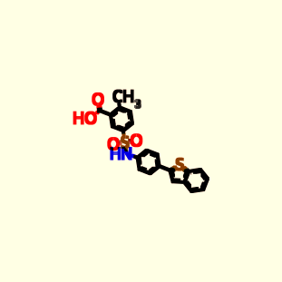 Cc1ccc(S(=O)(=O)Nc2ccc(-c3cc4ccccc4s3)cc2)cc1C(=O)O